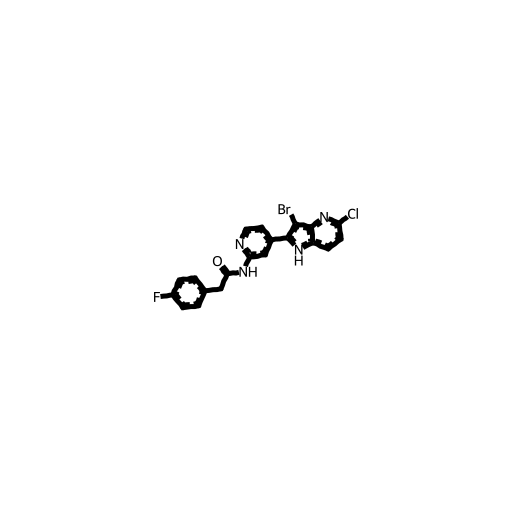 O=C(Cc1ccc(F)cc1)Nc1cc(-c2[nH]c3ccc(Cl)nc3c2Br)ccn1